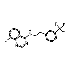 Fc1cccc2c(NCCc3cccc(C(F)(F)F)c3)ncnc12